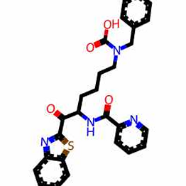 O=C(NC(CCCCN(Cc1ccccc1)C(=O)O)C(=O)c1nc2ccccc2s1)c1ccccn1